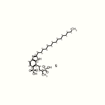 CCCCCCCCCCCCCCCc1nc2ccc(S(=O)(=O)O)c(CCC(C)S(=O)(=O)O)c2[nH]1.[K]